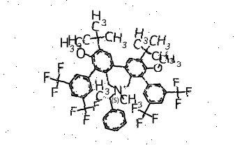 COc1c(C(C)(C)C)cc2c(c1-c1cc(C(F)(F)F)cc(C(F)(F)F)c1)C[N+](C)([C@@H](C)c1ccccc1)Cc1c-2cc(C(C)(C)C)c(OC)c1-c1cc(C(F)(F)F)cc(C(F)(F)F)c1